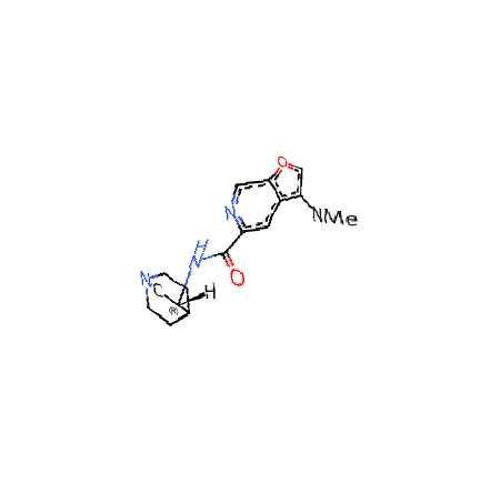 CNc1coc2cnc(C(=O)N[C@H]3CN4CCC3CC4)cc12